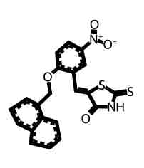 O=C1NC(=S)SC1=Cc1cc([N+](=O)[O-])ccc1OCc1cccc2ccccc12